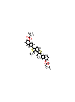 C=Cc1c(-c2ccc3c(c2)C=CCC3OC(=O)CC)sc2ccc3c(-c4ccc5c(c4)C=CCC5OC(=O)CC)sc(C)c3c12